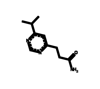 CC(C)c1cc(CCC(N)=O)ncn1